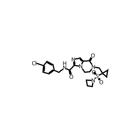 O=C(NCc1ccc(Cl)cc1)c1ncc2n1CCN(CC1(S(=O)(=O)N3CCC3)CC1)C2=O